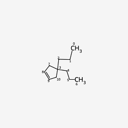 CCCC1(CCC)CC=CC1